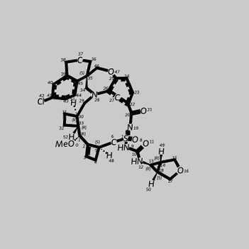 CO[C@H]1C2=CC[C@@H]2CS(=O)(NC(=O)N[C@H]2[C@@H]3COC[C@@H]32)=NC(=O)c2ccc3c(c2)N(C[C@@H]2CC[C@H]21)C[C@@]1(CCCc2cc(Cl)ccc21)CO3